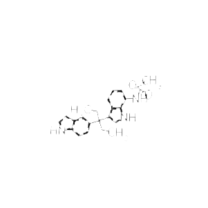 CCC(CC)(c1ccc2[nH]ccc2c1)c1c[nH]c2c(NS(C)(=O)=O)cccc12